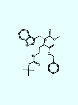 COC(=O)[C@@H](Cc1c[nH]c2ccccc12)N(CCNC(=O)OC(C)(C)C)C(=O)OCc1ccccc1